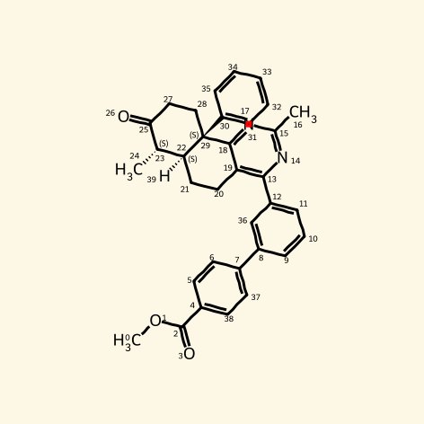 COC(=O)c1ccc(-c2cccc(-c3nc(C)nc4c3CC[C@H]3[C@H](C)C(=O)CC[C@]43c3ccccc3)c2)cc1